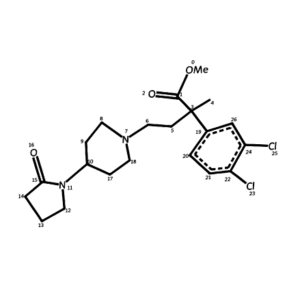 COC(=O)C(C)(CCN1CCC(N2CCCC2=O)CC1)c1ccc(Cl)c(Cl)c1